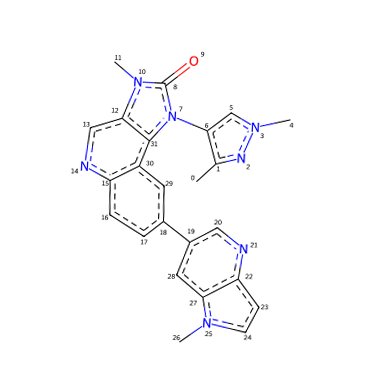 Cc1nn(C)cc1-n1c(=O)n(C)c2cnc3ccc(-c4cnc5ccn(C)c5c4)cc3c21